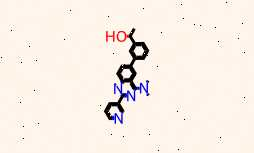 CC(O)c1cccc(-c2ccc3nc(-c4cccnc4)nc(N(C)C)c3c2)c1